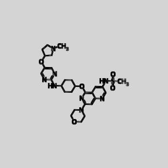 CN1CCC(Oc2cnc(NC3CCC(Oc4nc(N5CCOCC5)cc5ncc(NS(C)(=O)=O)cc45)CC3)nc2)C1